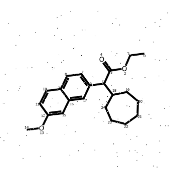 CCOC(=O)C(c1ccc2ccc(OC)cc2c1)C1CCCCCC1